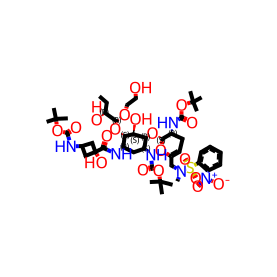 CC[C@@H](O)[C@H](OCCO)O[C@@H]1[C@@H](O)[C@H](O[C@H]2OC(CN(C)S(=O)(=O)c3ccccc3[N+](=O)[O-])=CC[C@H]2NC(=O)OC(C)(C)C)[C@@H](NC(=O)OC(C)(C)C)C[C@H]1NC(=O)C1(O)CC(NC(=O)OC(C)(C)C)C1